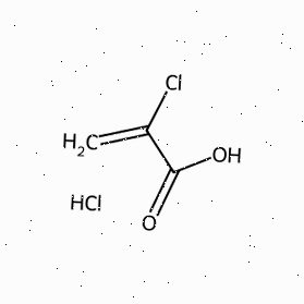 C=C(Cl)C(=O)O.Cl